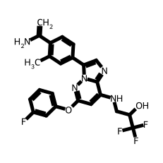 C=C(N)c1ccc(-c2cnc3c(NCC(O)C(F)(F)F)cc(Oc4cccc(F)c4)nn23)cc1C